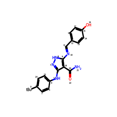 CC(C)(C)c1ccc(Nc2n[nH]c(/N=C/c3ccc(O)cc3)c2C(N)=O)cc1